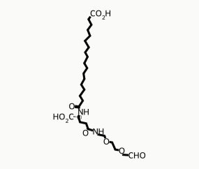 O=CCOCCOCCNC(=O)CC[C@@H](NC(=O)CCCCCCCCCCCCCCCCC(=O)O)C(=O)O